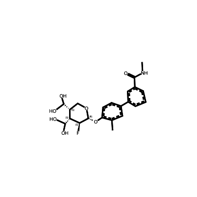 CNC(=O)c1cccc(-c2ccc(O[C@H]3OC[C@@H](C(O)O)[C@@H](C(O)O)[C@@H]3F)c(C)c2)c1